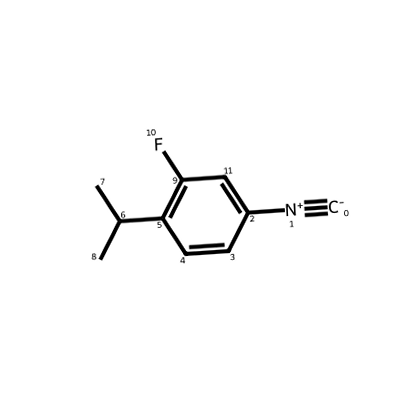 [C-]#[N+]c1ccc(C(C)C)c(F)c1